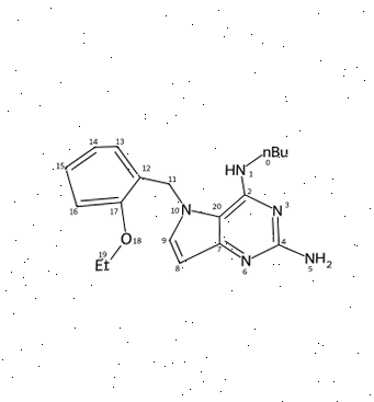 CCCCNc1nc(N)nc2ccn(Cc3ccccc3OCC)c12